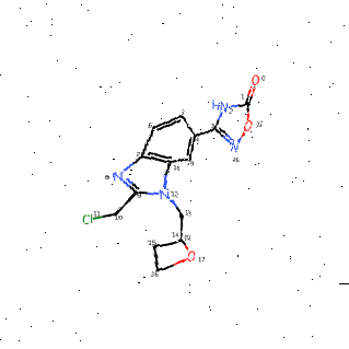 O=c1[nH]c(-c2ccc3nc(CCl)n(C[C@@H]4CCO4)c3c2)no1